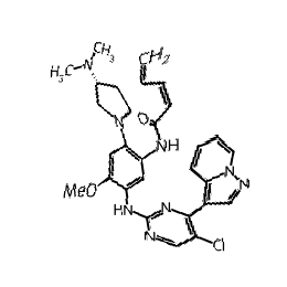 C=C/C=C\C(=O)Nc1cc(Nc2ncc(Cl)c(-c3cnn4ccccc34)n2)c(OC)cc1N1CC[C@@H](N(C)C)C1